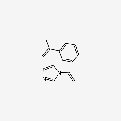 C=C(C)c1ccccc1.C=Cn1ccnc1